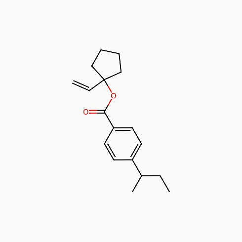 C=CC1(OC(=O)c2ccc(C(C)CC)cc2)CCCC1